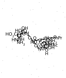 CCCOCCOCCOCCOCCC(=O)N(CCOCCN(C)C(=O)O[C@@H]([C@@H]1OC(C(=O)O)=C[C@H](NC(=N)N)[C@H]1C)[C@H](O)CO)CCOCCN(C)C(=O)O[C@@H]([C@@H]1OC(C(=O)O)=C[C@H](NC(=N)N)[C@H]1NC(C)=O)[C@H](O)CO